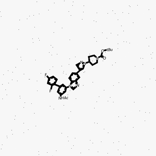 CC(=O)Nc1cc(-c2ccc(F)cc2F)cc(-n2cnc3cc(-c4cnn(C5CCN(C(=O)OC(C)(C)C)CC5)c4)ccc32)c1